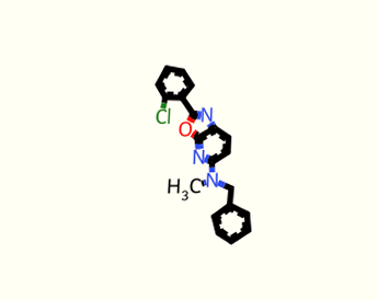 CN(Cc1ccccc1)c1ccc2nc(-c3ccccc3Cl)oc2n1